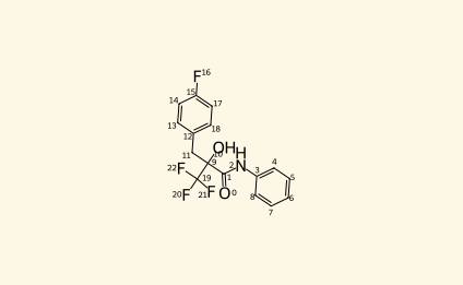 O=C(Nc1ccccc1)C(O)(Cc1ccc(F)cc1)C(F)(F)F